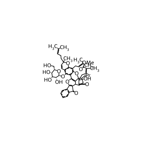 COC(=O)/C(C)=C\CC1(O)C(=O)C2CC(C(C)C)C13Oc1c(CC=C(C)C)c4c(c(O[C@@H]5O[C@H](CO)[C@@H](O)[C@H](O)[C@H]5O)c1C1=C3C2C2=C(O1)c1ccccc1C2=O)C=CC(C)(CCC=C(C)C)O4